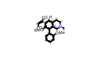 COc1ccccc1-c1c(OC)ccc2c1CN(C)CC2.O=C(O)C=CC(=O)O